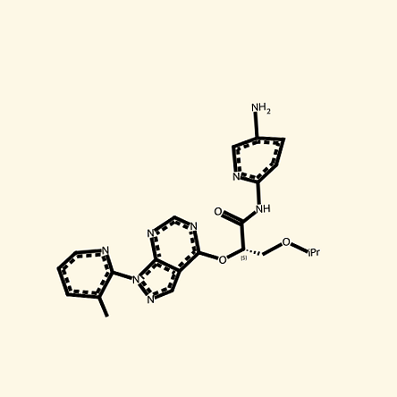 Cc1cccnc1-n1ncc2c(O[C@@H](COC(C)C)C(=O)Nc3ccc(N)cn3)ncnc21